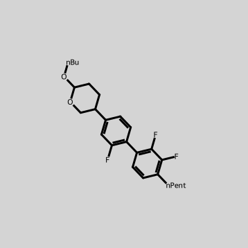 CCCCCc1ccc(-c2ccc(C3CCC(OCCCC)OC3)cc2F)c(F)c1F